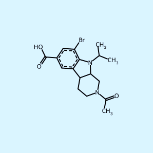 CC(=O)N1CCC2c3cc(C(=O)O)cc(Br)c3N(C(C)C)C2C1